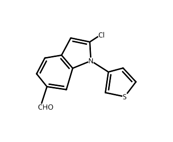 O=Cc1ccc2cc(Cl)n(-c3ccsc3)c2c1